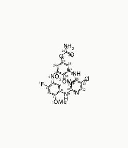 COc1cc(F)c([N+](=O)[O-])cc1Nc1ncc(Cl)c(Nc2cc(OC(N)=O)ccc2OC)n1